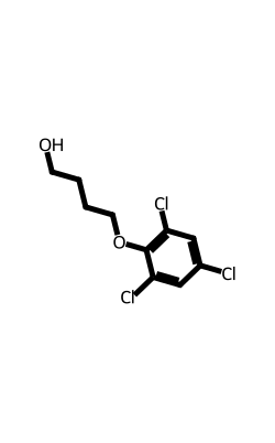 OCCCCOc1c(Cl)cc(Cl)cc1Cl